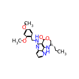 CCC[C@H]1COC(=O)c2c(NCc3ccc(OC)cc3OC)nc3cccnc3c2N1